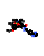 COc1cc(C)c(S(=O)(=O)N(C)C(C)c2cc(C(=O)NCCc3ccc(C4=NCCN4)cc3)co2)c(C)c1